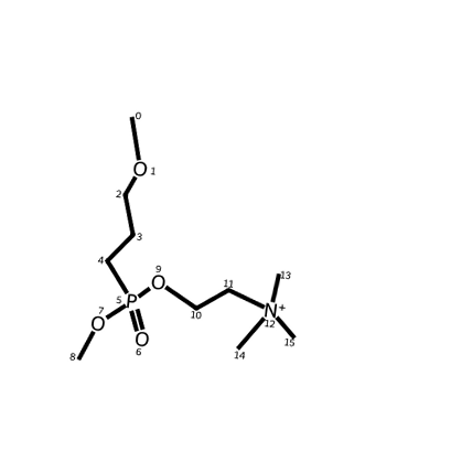 COCCCP(=O)(OC)OCC[N+](C)(C)C